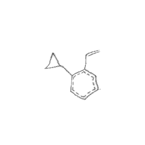 C=Cc1c[c]ccc1C1CC1